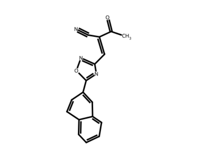 CC(=O)/C(C#N)=C/c1noc(-c2ccc3ccccc3c2)n1